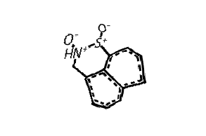 [O-][NH+]1Cc2cccc3cccc(c23)[S+]1[O-]